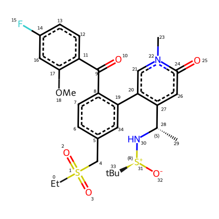 CCS(=O)(=O)Cc1ccc(C(=O)c2ccc(F)cc2OC)c(-c2cn(C)c(=O)cc2[C@H](C)N[S@@+]([O-])C(C)(C)C)c1